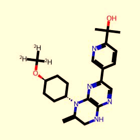 [2H]C([2H])([2H])O[C@H]1CC[C@H](N2C(=C)CNc3ncc(-c4ccc(C(C)(C)O)nc4)nc32)CC1